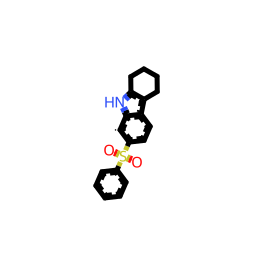 O=S(=O)(c1[c]c2[nH]c3c(c2cc1)CCCC3)c1ccccc1